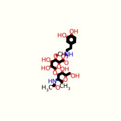 COC1C(C(=O)ONCCc2ccc(O)c(O)c2)OC(OC2C(O)C(CO)OC(C)C2NC(C)=O)C(O)C1O